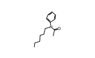 CCCCCCN(C(C)=O)c1cc[c]cc1